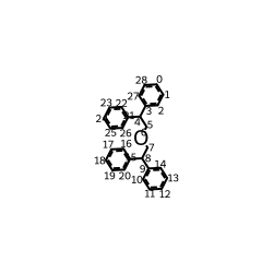 c1ccc(C(COCC(c2ccccc2)c2ccccc2)c2ccccc2)cc1